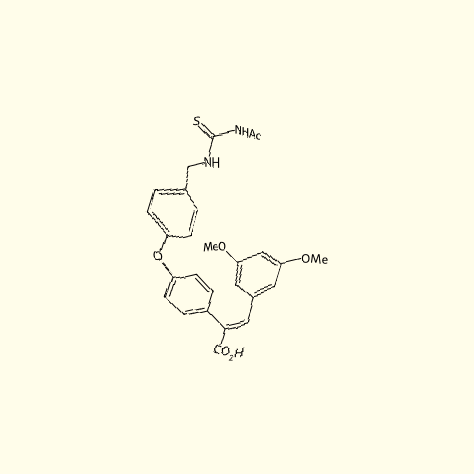 COc1cc(C=C(C(=O)O)c2ccc(Oc3ccc(CNC(=S)NC(C)=O)cc3)cc2)cc(OC)c1